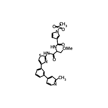 COCC(NC(=O)c1ccn(S(C)(=O)=O)c1)C(=O)Nc1nc(-c2cccc(-c3ccnc(C)c3)c2)cs1